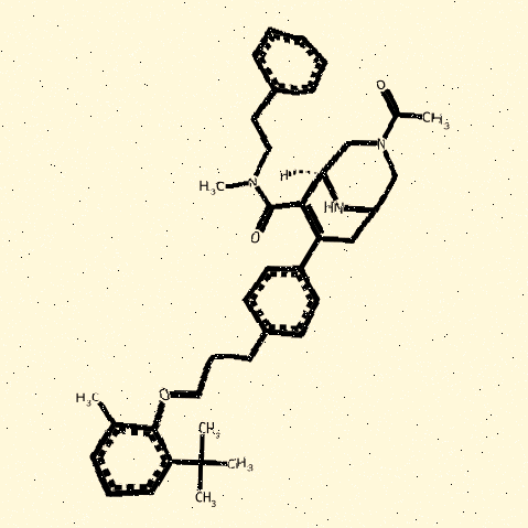 CC(=O)N1CC2CC(c3ccc(CCCOc4c(C)cccc4C(C)(C)C)cc3)=C(C(=O)N(C)CCc3ccccc3)[C@@H](C1)N2